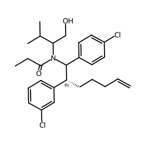 C=CCCC[C@H](c1cccc(Cl)c1)C(c1ccc(Cl)cc1)N(C(=O)CC)C(CO)C(C)C